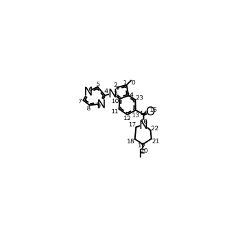 Cc1cn(-c2cnccn2)c2ccc(C(=O)N3CCC(F)CC3)cc12